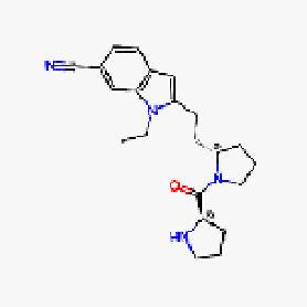 CCn1c(CC[C@@H]2CCCN2C(=O)[C@H]2CCCN2)cc2ccc(C#N)cc21